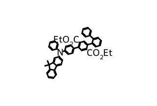 CCOC(=O)c1cc(-c2ccccc2-c2ccccc2)c(C(=O)OCC)cc1-c1ccc(N(c2ccccc2)c2ccc3c(c2)C(C)(C)c2ccccc2-3)cc1